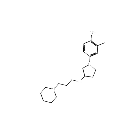 Cc1cc(N2CCC(OCCCN3CCCCC3)C2)ccc1N